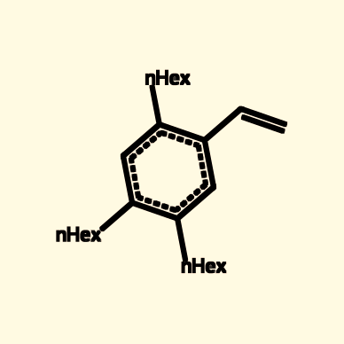 C=Cc1cc(CCCCCC)c(CCCCCC)cc1CCCCCC